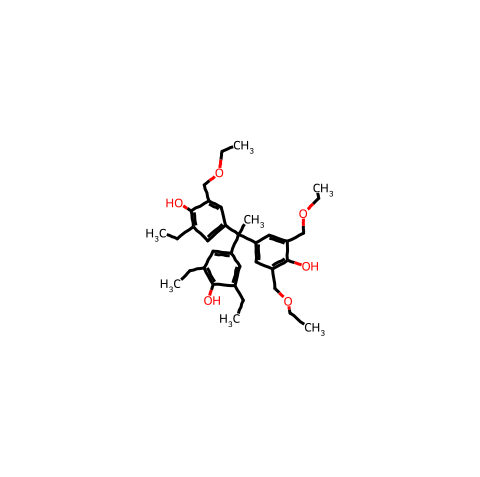 CCOCc1cc(C(C)(c2cc(CC)c(O)c(CC)c2)c2cc(COCC)c(O)c(COCC)c2)cc(CC)c1O